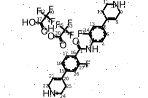 O=C(Nc1ccc(C2=CCNCC2)cc1F)c1ccc(C2=CCNCC2)cc1F.O=C(O)C(F)(F)F.O=C(O)C(F)(F)F